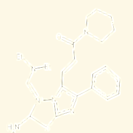 CCN(C=[N+]1C(N)Sc2nc(-c3ccccc3)c(C=CC(=O)N3CCCCC3)n21)CC